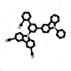 N#Cc1ccc2c(c1)c1cc(C#N)ccc1n2-c1cc(-c2ccc3c(c2)c2ccccc2n3-c2ccccc2)cc(-c2ccccc2C#N)c1